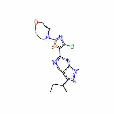 CCC(C)c1nn(C)c2nc(-c3sc(N4CCOCC4)nc3Cl)ncc12